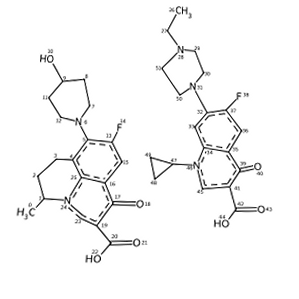 CC1CCc2c(N3CCC(O)CC3)c(F)cc3c(=O)c(C(=O)O)cn1c23.CCN1CCN(c2cc3c(cc2F)c(=O)c(C(=O)O)cn3C2CC2)CC1